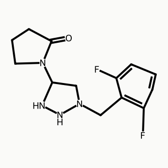 O=C1CCCN1C1CN(Cc2c(F)cccc2F)NN1